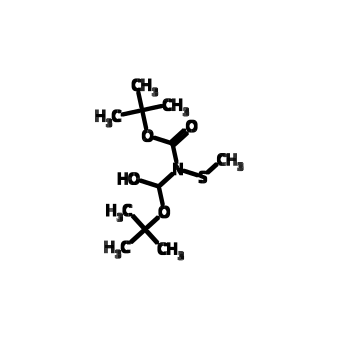 CSN(C(=O)OC(C)(C)C)C(O)OC(C)(C)C